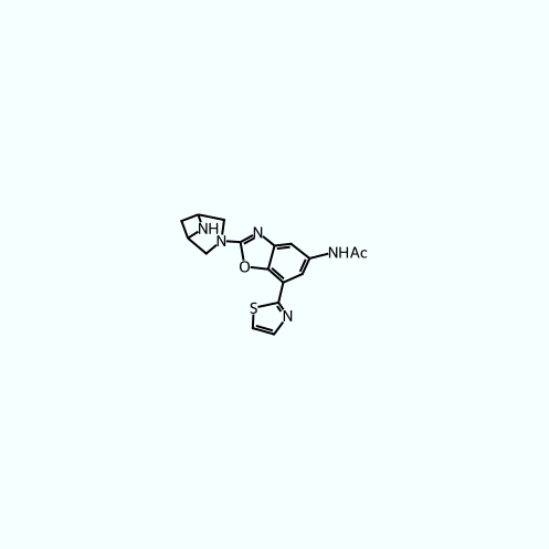 CC(=O)Nc1cc(-c2nccs2)c2oc(N3CC4CC(C3)N4)nc2c1